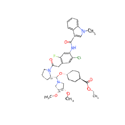 CCOC(=O)[C@H]1CC[C@H](OC([C@@H]2CCCN2C(=O)Cc2cc(Cl)c(NC(=O)c3cn(C)c4ccccc34)cc2F)N2C[C@H](OC)[C@H](OC)C2)CC1